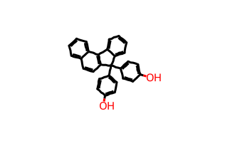 Oc1ccc(C2(c3ccc(O)cc3)c3ccccc3-c3c2ccc2ccccc32)cc1